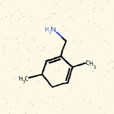 CC1=CCC(C)C=C1CN